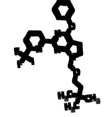 C[Si](C)(C)CCOCn1ccc2c(Oc3ccccc3)nc(-c3cccc(C(F)(F)I)n3)nc21